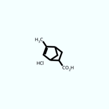 CC1=CC2CC1CC2C(=O)O.Cl